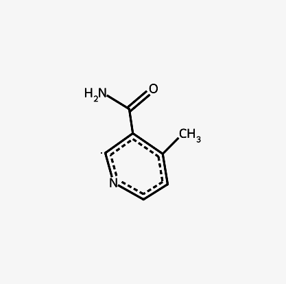 Cc1ccn[c]c1C(N)=O